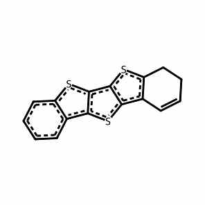 C1=Cc2c(sc3c2sc2c4ccccc4sc32)CC1